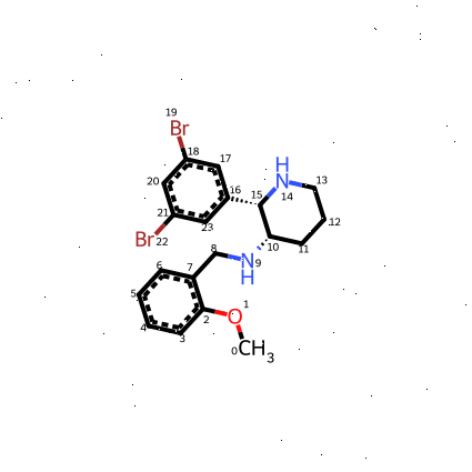 COc1ccccc1CN[C@H]1CCCN[C@H]1c1cc(Br)cc(Br)c1